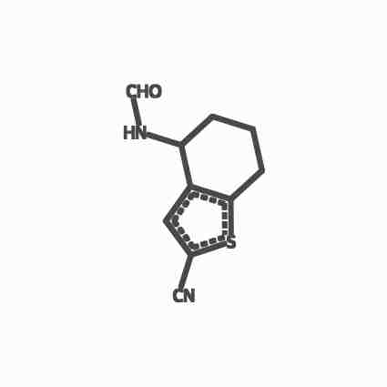 N#Cc1cc2c(s1)CCCC2NC=O